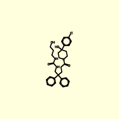 O=C(NCCCO)NCC(CCC(=O)N1CCC(O)(c2ccc(Cl)cc2)CC1)(c1ccccc1)c1ccccc1